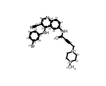 CN1CCN(CC#CC(=O)Nc2ccc3ncc(C#N)c(Nc4cccc(Br)c4)c3c2)CC1